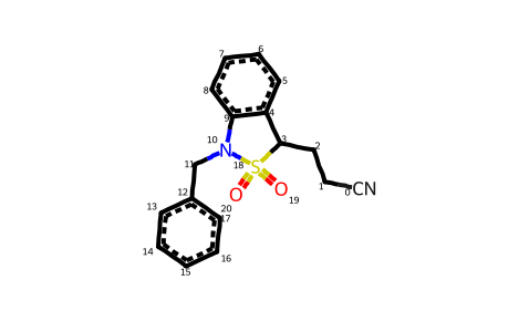 N#CCCC1c2ccccc2N(Cc2ccccc2)S1(=O)=O